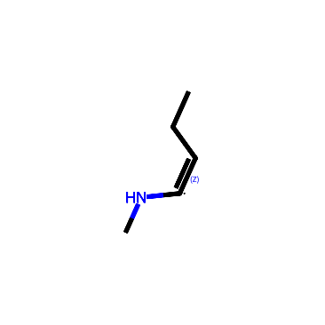 CC/C=[C]\NC